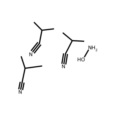 CC(C)C#N.CC(C)C#N.CC(C)C#N.NO